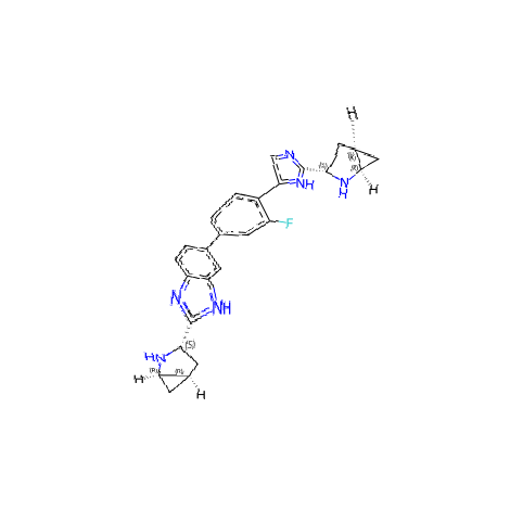 Fc1cc(-c2ccc3nc([C@@H]4C[C@H]5C[C@H]5N4)[nH]c3c2)ccc1-c1cnc([C@@H]2C[C@H]3C[C@H]3N2)[nH]1